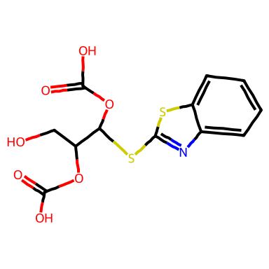 O=C(O)OC(CO)C(OC(=O)O)Sc1nc2ccccc2s1